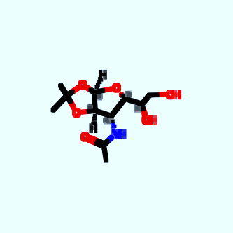 CC(=O)N[C@@H]1[C@H]2OC(C)(C)O[C@H]2O[C@@H]1[C@H](O)CO